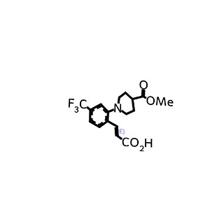 COC(=O)C1CCN(c2cc(C(F)(F)F)ccc2/C=C/C(=O)O)CC1